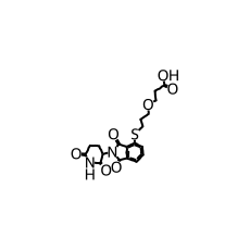 O=C(O)CCOCCCSc1cccc2c1C(=O)N(C1CCC(=O)NC1=O)C2=O